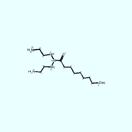 CCCCCCCCCCCCCCCCCC(=O)N(NCCN)NCCN